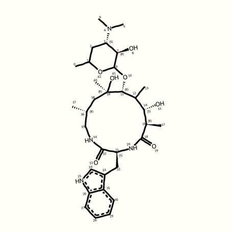 CC1C[C@H](N(C)C)[C@@H](O)C(O[C@@H]2C(C)[C@H](O)[C@@H](C)C(=O)N[C@@H](Cc3c[nH]c4ccccc34)C(=O)NC[C@H](C)C[C@@]2(C)O)O1